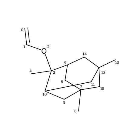 C=COC1(C)C2CC3(C)CC1CC(C)(C2)C3